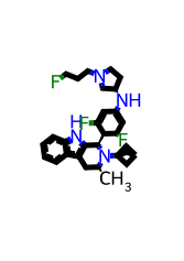 C[C@@H]1Cc2c([nH]c3ccccc23)[C@@H](C2C(F)=CC(N[C@H]3CCN(CCCF)C3)=CC2F)N1C12CC(C1)C2